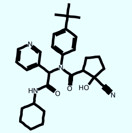 CC(C)(C)c1ccc(N(C(=O)C2CCCC2(O)C#N)C(C(=O)NC2CCCCC2)c2cccnc2)cc1